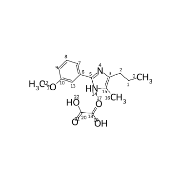 CCCc1nc(-c2cccc(OC)c2)[nH]c1C.O=C(O)C(=O)O